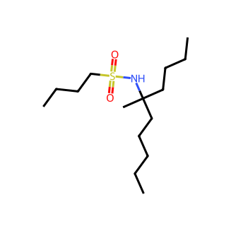 CCCCCC(C)(CCCC)NS(=O)(=O)CCCC